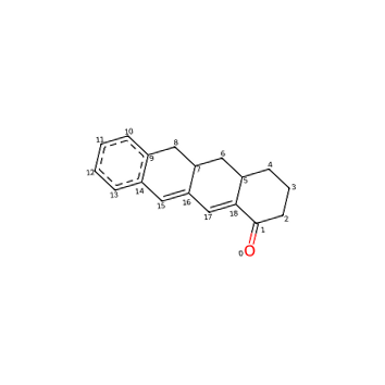 O=C1CCCC2CC3Cc4ccccc4C=C3C=C12